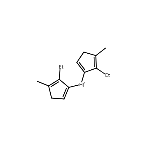 CCC1=C(C)CC=[C]1[Hf][C]1=CCC(C)=C1CC